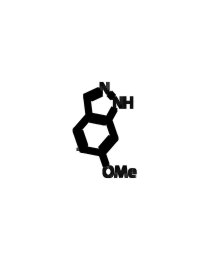 COc1[c]cc2cn[nH]c2c1